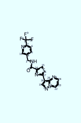 O=C(NCc1ccc(C(F)(F)F)nc1)c1csc(-c2cnn3cccnc23)n1